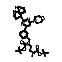 CN(CCN(Cc1cccc(-c2cc(N3CCOCC3)nc(-c3ccnc4[nH]ccc34)n2)c1)C(=O)OC(C)(C)C)C(=O)OC(C)(C)C